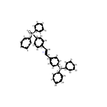 O=P(c1ccccc1)(c1ccccc1)c1ccc(/C=C/c2ccc(N(c3ccccc3)c3ccccc3)cc2)cc1